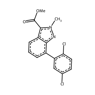 COC(=O)c1c2cccc(-c3cc(Cl)ccc3Cl)c2nn1C